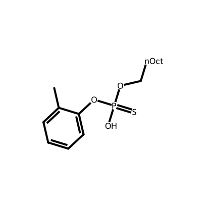 CCCCCCCCCOP(O)(=S)Oc1ccccc1C